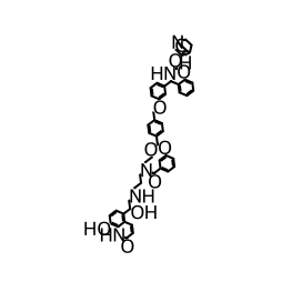 O=C(N[C@@H](c1ccccc1)c1cccc(OCc2ccc(C(=O)OCCN(CCCNC[C@H](O)c3ccc(O)c4[nH]c(=O)ccc34)C(=O)c3ccccc3)cc2)c1)O[C@H]1CN2CCC1CC2